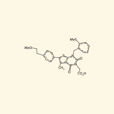 COCCc1ccc(-c2sc3c(c2C)c(=O)n(CC(=O)O)c(=O)n3Cc2ccccc2SC)cc1